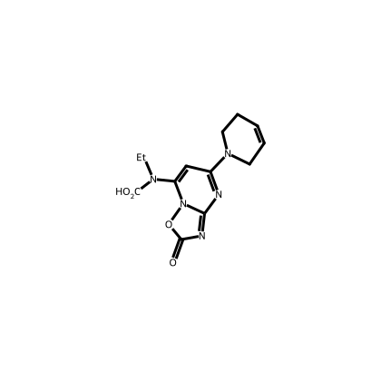 CCN(C(=O)O)c1cc(N2CC=CCC2)nc2nc(=O)on12